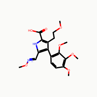 COCCc1c(C(=O)O)[nH]c(/C=N/OC)c1-c1ccc(OC)c(OC)c1OC